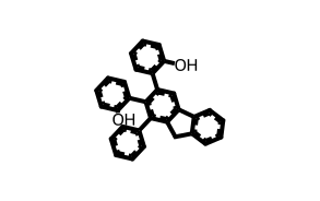 Oc1ccccc1-c1cc2c(c(-c3ccccc3)c1-c1ccccc1O)Cc1ccccc1-2